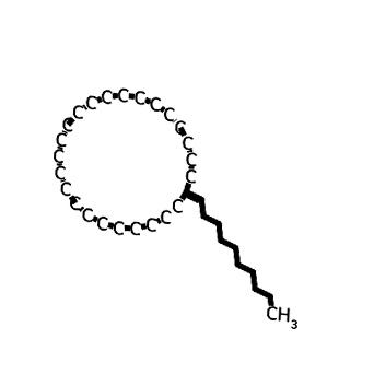 CCCCCCCCCC=C1CCCCCCCCCCCCCCCCCCCCCCCC1